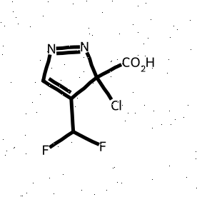 O=C(O)C1(Cl)N=NC=C1C(F)F